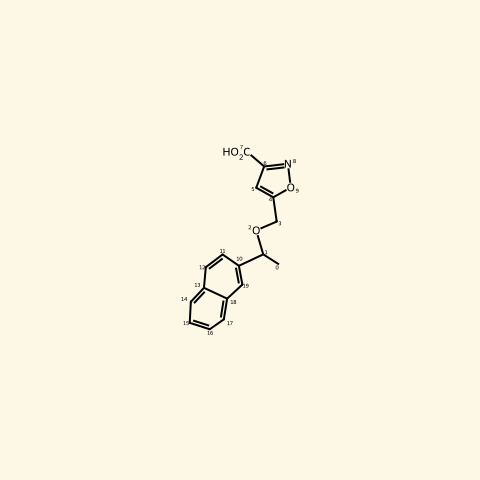 CC(OCc1cc(C(=O)O)no1)c1ccc2ccccc2c1